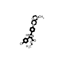 CCOC(=O)c1nc(-c2ccc(N3CCC4(CC3)CN(C)CCO4)cc2)[nH]c1-c1ccc(Cl)cc1